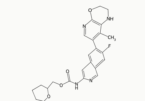 Cc1c(-c2cc3cc(NC(=O)OCC4CCCCO4)ncc3cc2F)cnc2c1NCCO2